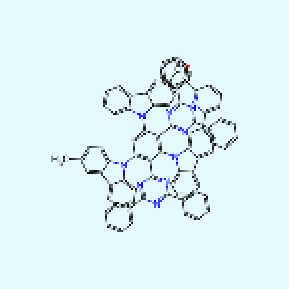 Cc1ccc2c(c1)c1ccccc1n2-c1cc(-n2c3ccccc3c3cc(C)ccc32)c(-c2nc(-c3ccccc3)nc(-c3ccccc3)n2)c(-n2c3ccccc3c3ccc(-c4cccc(-c5ccccc5)n4)cc32)c1-c1nc(-c2ccccc2)nc(-c2ccccc2)n1